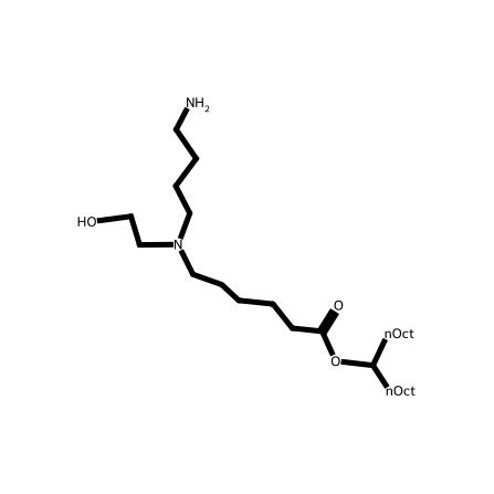 CCCCCCCCC(CCCCCCCC)OC(=O)CCCCCN(CCO)CCCCN